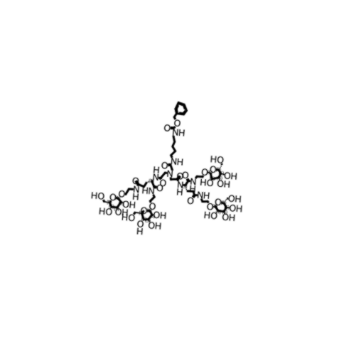 O=C(CC[C@H](NC(=O)CN(CC(=O)NCCCCCNC(=O)OCc1ccccc1)CC(=O)N[C@@H](CCC(=O)NCCO[C@H]1O[C@H](CO)[C@@H](O)[C@H](O)[C@@H]1O)C(=O)NCCO[C@H]1O[C@H](CO)[C@@H](O)[C@H](O)[C@@H]1O)C(=O)NCCO[C@H]1O[C@H](CO)[C@@H](O)[C@H](O)[C@@H]1O)NCCO[C@H]1O[C@H](CO)[C@@H](O)[C@H](O)[C@@H]1O